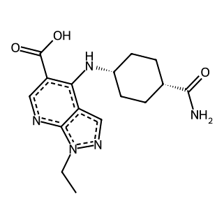 CCn1ncc2c(N[C@H]3CC[C@@H](C(N)=O)CC3)c(C(=O)O)cnc21